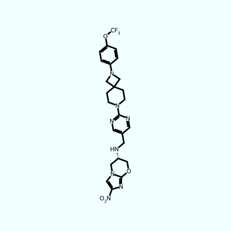 O=[N+]([O-])c1cn2c(n1)OC[C@@H](NCc1cnc(N3CCC4(CC3)CN(c3ccc(OC(F)(F)F)cc3)C4)nc1)C2